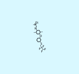 CCN(C)C=Nc1cc(C)c(Oc2cccc(SCC(F)(F)C(F)F)c2)cc1C